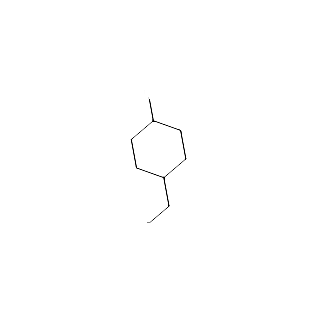 OC1CCC(CI)CC1